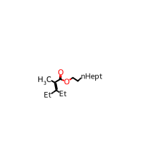 CCCCCCCCCOC(=O)C(C)=C(CC)CC